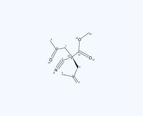 C=C(C)C[C@@](C#N)(CC(C)=O)C(=O)OC